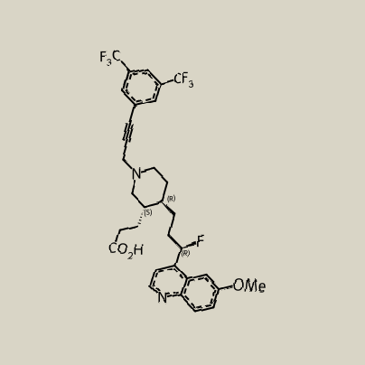 COc1ccc2nccc([C@H](F)CC[C@@H]3CCN(CC#Cc4cc(C(F)(F)F)cc(C(F)(F)F)c4)C[C@H]3CCC(=O)O)c2c1